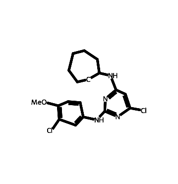 COc1ccc(Nc2nc(Cl)cc(NC3CCCCCC3)n2)cc1Cl